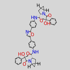 C[C@@](O)(C(=O)N1[C@H](C(=O)Nc2ccc(-c3cnc(-c4ccc(NC(=O)[C@@H]5C[C@@H]6C[C@@H]6N5C(=O)[C@@](C)(O)c5ccccc5)cc4)o3)cc2)C[C@@H]2C[C@@H]21)c1ccccc1